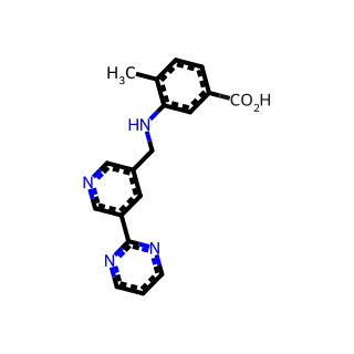 Cc1ccc(C(=O)O)cc1NCc1cncc(-c2ncccn2)c1